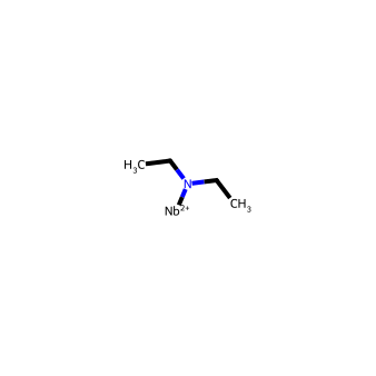 CC[N]([Nb+2])CC